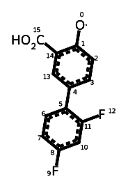 [O]c1ccc(-c2ccc(F)cc2F)cc1C(=O)O